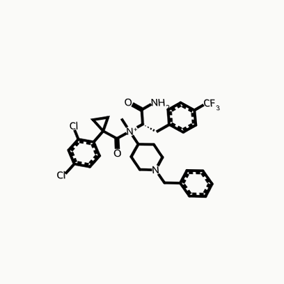 C[N+](C(=O)C1(c2ccc(Cl)cc2Cl)CC1)(C1CCN(Cc2ccccc2)CC1)[C@@H](Cc1ccc(C(F)(F)F)cc1)C(N)=O